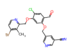 Cc1c(Br)ccnc1COc1cc(OCc2cncc(C#N)c2)c(C=O)cc1Cl